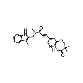 Cc1c(CN(C)C(=O)/C=C/c2cnc3c(c2)OCC(C)(C)C(=O)N3)[nH]c2ccccc12